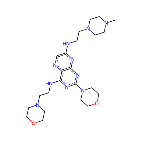 CN1CCN(CCNc2cnc3c(NCCN4CCOCC4)nc(N4CCOCC4)nc3n2)CC1